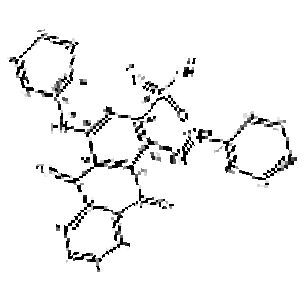 O=C1c2ccccc2C(=O)c2c(N=Nc3ccccc3)c(S(=O)(=O)O)cc(Nc3ccccc3)c21